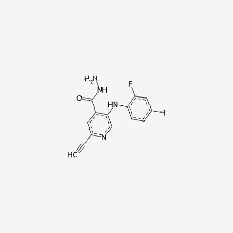 C#Cc1cc(C(=O)NN)c(Nc2ccc(I)cc2F)cn1